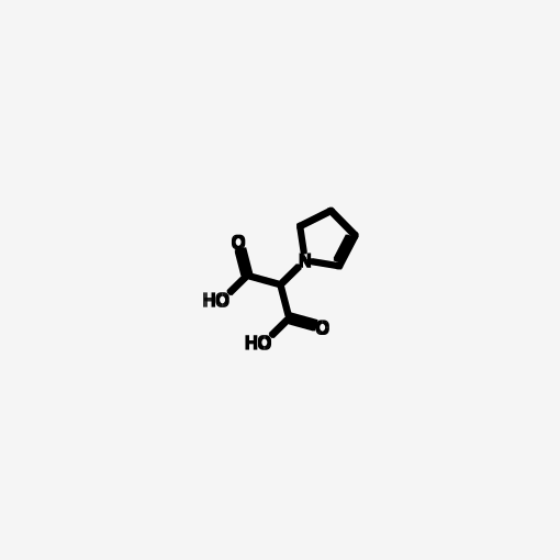 O=C(O)C(C(=O)O)N1C=CCC1